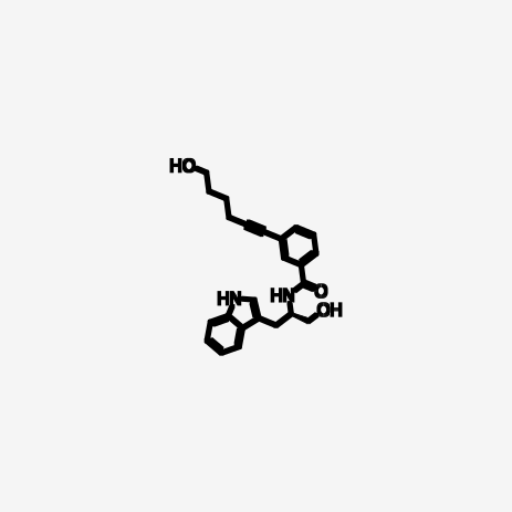 O=C(N[C@@H](CO)Cc1c[nH]c2ccccc12)c1cccc(C#CCCCCO)c1